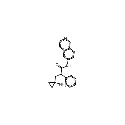 NC1(CC(C(=O)Nc2ccc3cnccc3c2)c2ccccc2)CC1